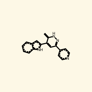 C=C1NN=C(c2ccncc2)C=C1c1cc2ccccc2[nH]1